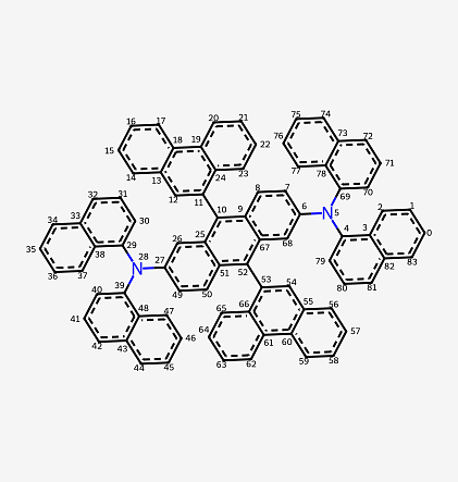 c1ccc2c(N(c3ccc4c(-c5cc6ccccc6c6ccccc56)c5cc(N(c6cccc7ccccc67)c6cccc7ccccc67)ccc5c(-c5cc6ccccc6c6ccccc56)c4c3)c3cccc4ccccc34)cccc2c1